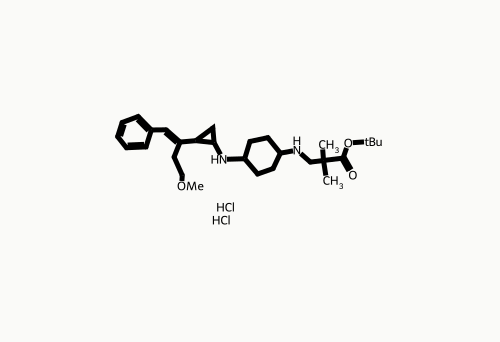 COCC/C(=C\c1ccccc1)C1CC1NC1CCC(NCC(C)(C)C(=O)OC(C)(C)C)CC1.Cl.Cl